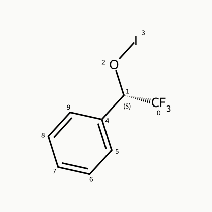 FC(F)(F)[C@@H](OI)c1ccccc1